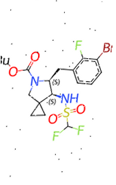 CC(C)(C)OC(=O)N1CC2(CC2)[C@H](NS(=O)(=O)C(F)F)[C@@H]1Cc1cccc(Br)c1F